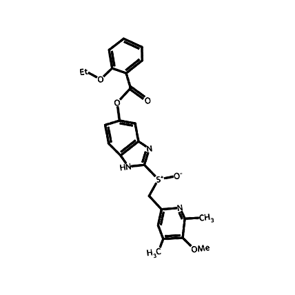 CCOc1ccccc1C(=O)Oc1ccc2[nH]c([S+]([O-])Cc3cc(C)c(OC)c(C)n3)nc2c1